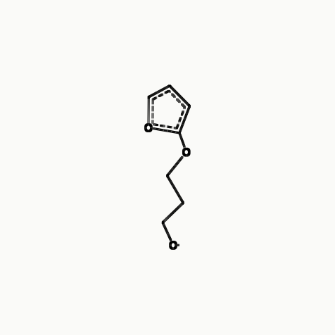 [O]CCCOc1ccco1